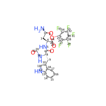 NC(=O)C[C@H](NC(=O)[C@H](Cc1c[nH]c2ccccc12)NC=O)C(=O)Oc1c(F)c(F)c(F)c(F)c1F